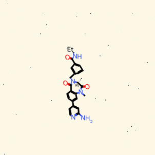 CCNC(=O)c1cccc(CN2C(=O)c3ccc(-c4ccnc(N)c4)cc3N(C)C(=O)[C@H]2C)c1